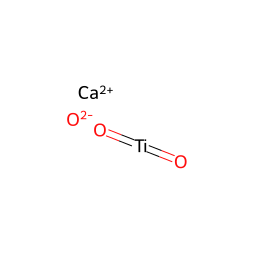 [Ca+2].[O-2].[O]=[Ti]=[O]